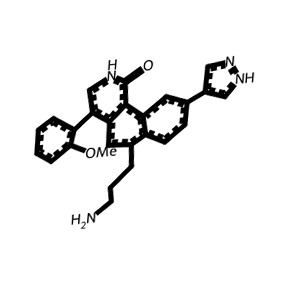 COc1ccccc1-c1c[nH]c(=O)c2c1cc(CCCN)c1ccc(-c3cn[nH]c3)cc12